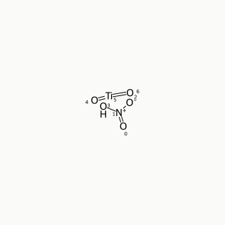 O=[N+]([O-])O.[O]=[Ti]=[O]